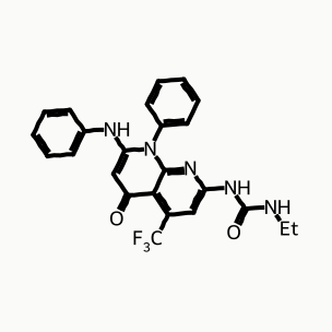 CCNC(=O)Nc1cc(C(F)(F)F)c2c(=O)cc(Nc3ccccc3)n(-c3ccccc3)c2n1